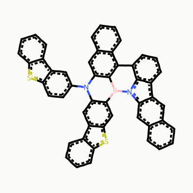 c1ccc2cc3c(cc2c1)c1cccc2c1n3B1c3cc4sc5ccccc5c4cc3N(c3ccc4sc5ccccc5c4c3)c3cc4ccccc4c-2c31